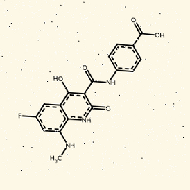 CNc1cc(F)cc2c(O)c(C(=O)Nc3ccc(C(=O)O)cc3)c(=O)[nH]c12